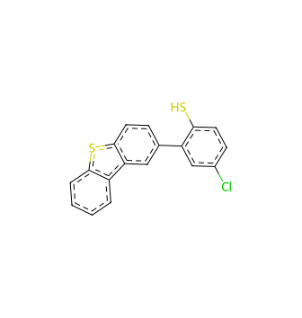 Sc1ccc(Cl)cc1-c1ccc2sc3ccccc3c2c1